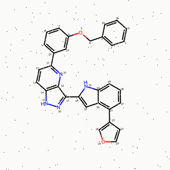 c1ccc(COc2cccc(-c3ccc4[nH]nc(-c5cc6c(-c7ccoc7)cccc6[nH]5)c4n3)c2)cc1